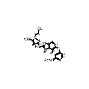 CC(=O)Nc1cc(Oc2ncc3nc(Nc4cc(C(C)(C)C)n(CCC#N)n4)n(C)c3c2C)ccn1